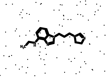 CCNc1cccc2c1ncn2CCCN1C=NCC1